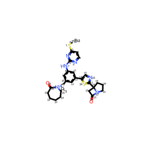 CCCCSc1ccnc(Nc2cc(C)cc(-c3cnc(C45CCCN4C(=O)C5)s3)c2)n1.O=C1CCCCCN1